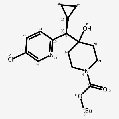 CC(C)(C)OC(=O)N1CCC(O)([C@@H](c2ccc(Cl)cn2)C2CC2)CC1